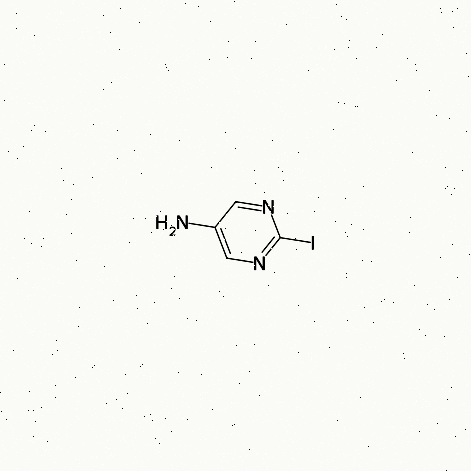 Nc1cnc(I)nc1